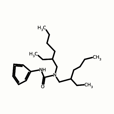 CCCCC(CC)CN(CC(CC)CCCC)C(=O)NC1=CC=C=C=C1